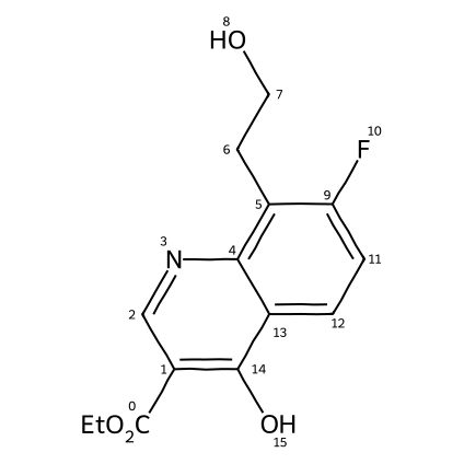 CCOC(=O)c1cnc2c(CCO)c(F)ccc2c1O